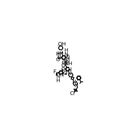 COc1nc2[nH]cc(F)c2cc1Oc1cc(N2CCC3(CC2)CC(N2CCN(CC45CC4(Cl)C5)C[C@H]2c2ccccc2C(C)C)C3)ncc1C(=O)NS(=O)(=O)c1cc([NH+](C)[O-])c(NC[C@H]2CC[C@](C)(O)CC2)c2[nH]cnc12